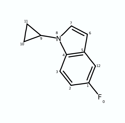 Fc1ccc2c(ccn2C2CC2)c1